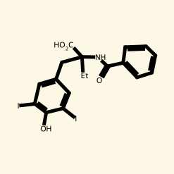 CCC(Cc1cc(I)c(O)c(I)c1)(NC(=O)c1ccccc1)C(=O)O